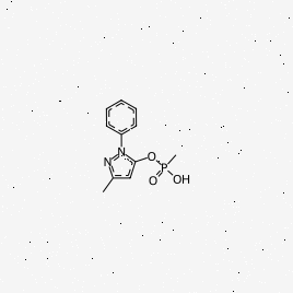 Cc1cc(OP(C)(=O)O)n(-c2ccccc2)n1